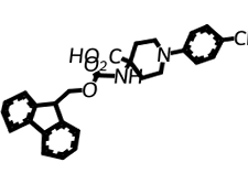 O=C(NC1(C(=O)O)CCN(c2ccc(Cl)cc2)CC1)OCC1c2ccccc2-c2ccccc21